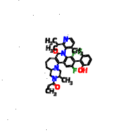 C=CC(=O)N1CC2CCCc3c(c4cc(F)c(-c5c(O)cccc5F)c(F)c4n(-c4c(C)ccnc4C(C)C)c3=O)N2CC1C